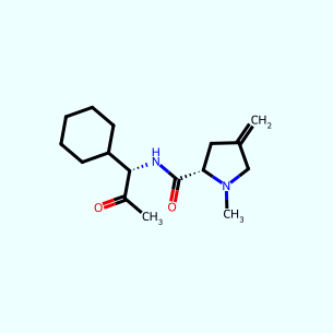 C=C1C[C@@H](C(=O)N[C@H](C(C)=O)C2CCCCC2)N(C)C1